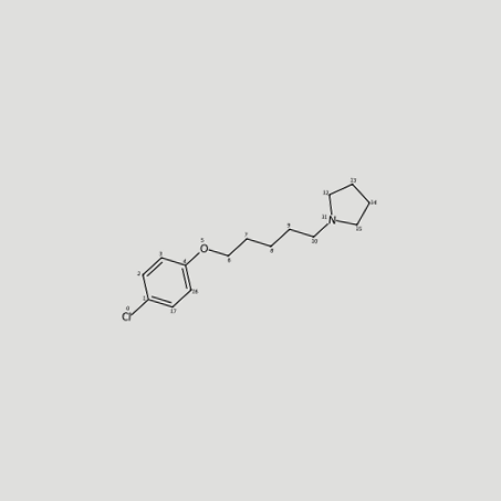 Clc1ccc(OCCCCCN2CCCC2)cc1